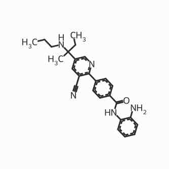 CCCNC(C)(CC)c1cnc(-c2ccc(C(=O)Nc3ccccc3N)cc2)c(C#N)c1